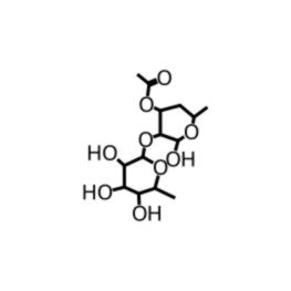 CC(=O)OC1CC(C)OC(O)C1OC1OC(C)C(O)C(O)C1O